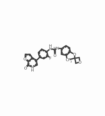 CC1(Oc2ccc(NC(=O)Nc3ccc(-c4c[nH]c(=O)c5occc45)cc3F)cc2C(F)(F)F)COC1